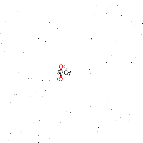 O=[Si]=O.[Cd]